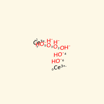 [Ce+3].[Ce+3].[OH-].[OH-].[OH-].[OH-].[OH-].[OH-]